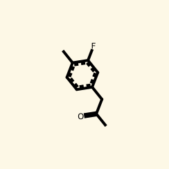 CC(=O)Cc1ccc(C)c(F)c1